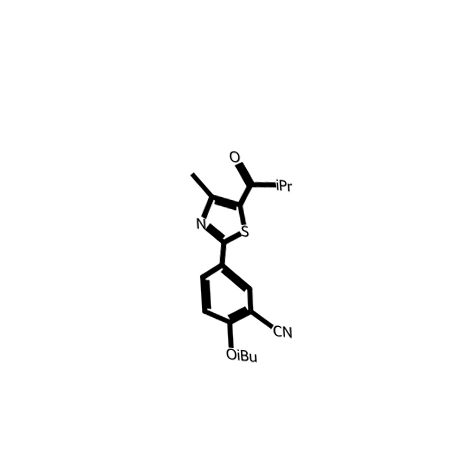 Cc1nc(-c2ccc(OCC(C)C)c(C#N)c2)sc1C(=O)C(C)C